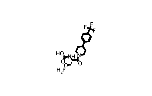 O=C(O)N[C@@H](COP)C(=O)N1CCC(c2ccc(C(F)(F)F)cc2)CC1